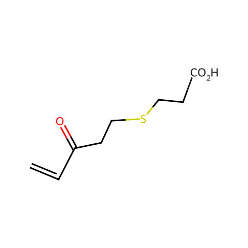 C=CC(=O)CCSCCC(=O)O